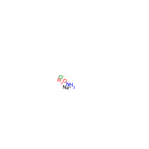 N.O.[Cl-].[Na+]